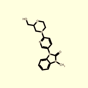 Cn1c(=O)n(-c2ccc(N3CCOC(CO)C3)nc2)c2ccccc21